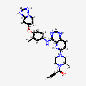 CC#CC(=O)N1CCN(c2ccc3ncnc(Nc4ccc(Oc5ccn6ncnc6c5)c(C)c4)c3n2)C[C@H]1C